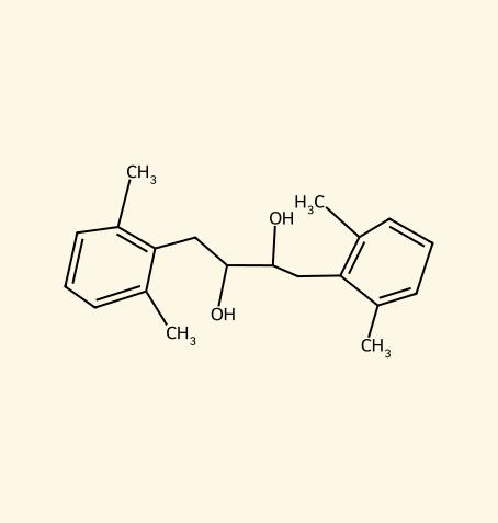 Cc1cccc(C)c1CC(O)C(O)Cc1c(C)cccc1C